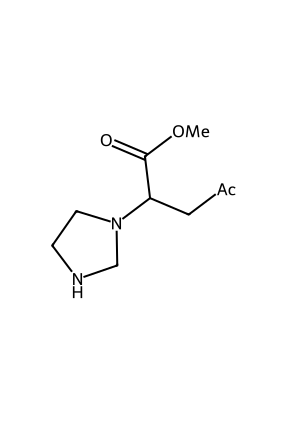 COC(=O)C(CC(C)=O)N1CCNC1